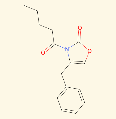 CCCCC(=O)n1c(Cc2ccccc2)coc1=O